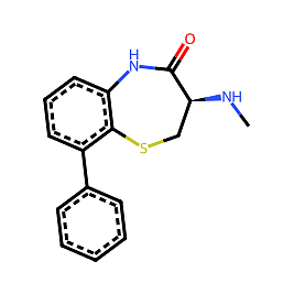 CN[C@H]1CSc2c(cccc2-c2ccccc2)NC1=O